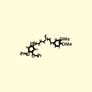 COc1ccc(CCN(C)CCCNc2ccc(OC(C)C)c(OC(C)C)c2)cc1OC